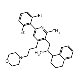 CCc1cccc(CC)c1-c1cc(CCCN2CCOCC2)c(CN(C)C2CCCc3ccccc32)c(C)n1